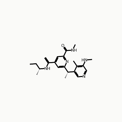 C=C(N[C@H](C)CC)c1cc(C(=O)NC)nc([C@@H](C)c2cncc(NC)c2C)c1